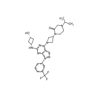 CC(C)N1CCN(C2CN(c3nc(N[C@H]4C[C@@H](O)C4)nc4c3cnn4-c3cccc(C(F)(F)F)c3)C2)C(=O)C1